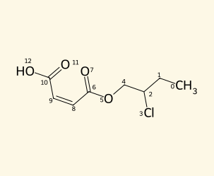 CCC(Cl)COC(=O)/C=C\C(=O)O